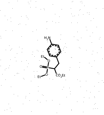 CCOC(=O)C(Cc1ccc(N)cc1)P(=O)(OCC)OCC